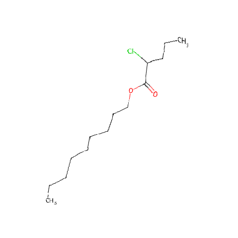 CCCCCCCCCOC(=O)C(Cl)CCC